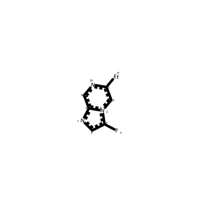 CCc1cn2c(F)cnc2cn1